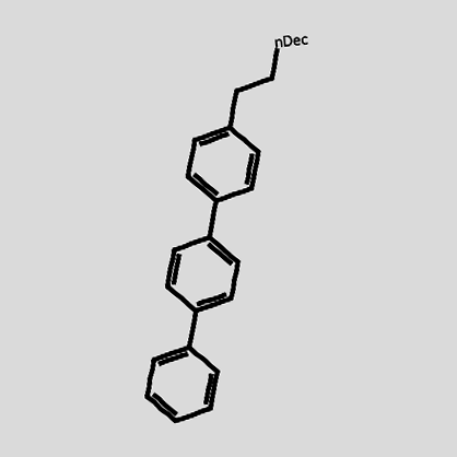 CCCCCCCCCCCCc1ccc(-c2ccc(-c3ccccc3)cc2)cc1